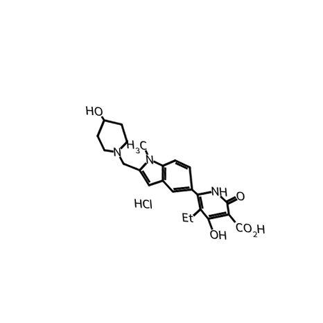 CCc1c(-c2ccc3c(c2)cc(CN2CCC(O)CC2)n3C)[nH]c(=O)c(C(=O)O)c1O.Cl